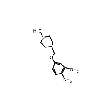 CN1CCC(COc2ccc(N)c(N)c2)CC1